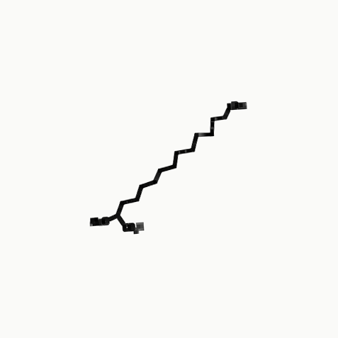 CCCCCCCCCCCCCCCCCCCCCCC(OC)C(=O)O